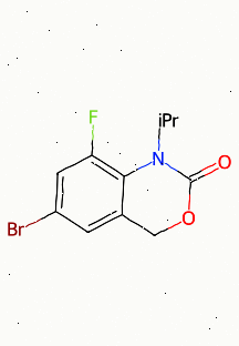 CC(C)N1C(=O)OCc2cc(Br)cc(F)c21